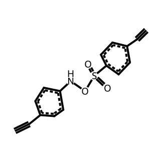 C#Cc1ccc(NOS(=O)(=O)c2ccc(C#C)cc2)cc1